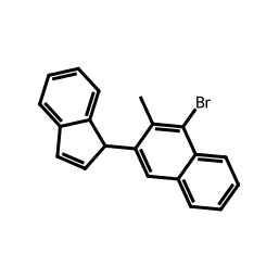 Cc1c(C2C=Cc3ccccc32)cc2ccccc2c1Br